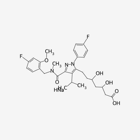 COc1cc(F)ccc1CN(C)C(=O)c1nn(-c2ccc(F)cc2)c(CCC(O)CC(O)CC(=O)O)c1C(C)C.[NaH]